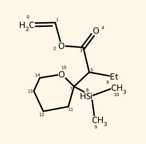 C=COC(=O)C(CC)C1([SiH](C)C)CCCCO1